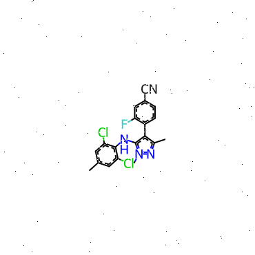 Cc1cc(Cl)c(Nc2c(-c3ccc(C#N)cc3F)c(C)nn2C)c(Cl)c1